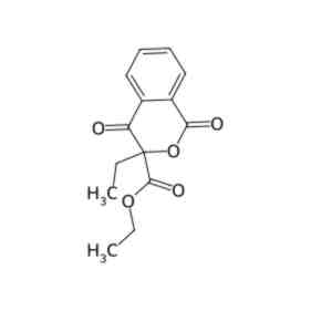 CCOC(=O)C1(CC)OC(=O)c2ccccc2C1=O